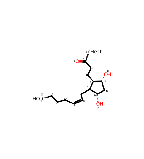 CCCCCCCC(=O)CC[C@@H]1C(C/C=C\CCCC(=O)O)[C@@H](O)C[C@H]1O